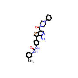 Cc1cccc(NC(=O)Nc2ccc(-c3csc4c(C(=O)N5CCN(c6ccccc6)CC5)cnc(N)c34)cc2)c1